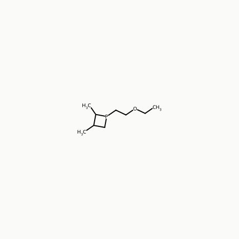 CCOCCP1CC(C)C1C